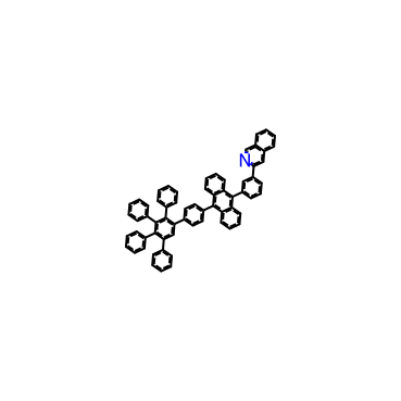 c1ccc(-c2cc(-c3ccc(-c4c5ccccc5c(-c5cccc(-c6cc7ccccc7cn6)c5)c5ccccc45)cc3)c(-c3ccccc3)c(-c3ccccc3)c2-c2ccccc2)cc1